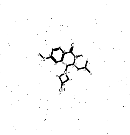 CSc1ccc(C(=O)N(C)[C@@H](CC(C)C)CN2CC(O)C2)cc1